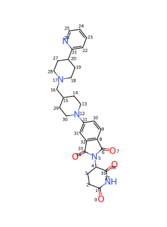 O=C1CCC(N2C(=O)c3ccc(N4CCC(CN5CCC(c6ccccn6)CC5)CC4)cc3C2=O)C(=O)N1